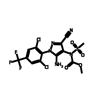 COC(=O)N(c1c(C#N)nn(-c2c(Cl)cc(C(F)(F)F)cc2Cl)c1N)S(C)(=O)=O